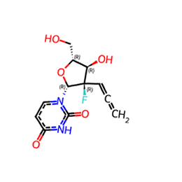 C=C=C[C@@]1(F)[C@H](O)[C@@H](CO)O[C@H]1n1ccc(=O)[nH]c1=O